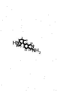 Cc1ccc2[nH]ncc2c1-c1ccc2cc(N)ncc2c1